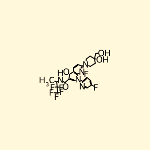 CC(NC(=O)c1cn(-c2ncc(F)cc2F)c2nc(N3CCC(O)(CO)CC3)ccc2c1=O)C(F)(F)C(F)(F)F